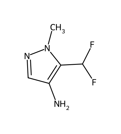 Cn1ncc(N)c1C(F)F